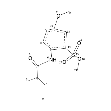 CCC(C)C(=O)Nc1ccc(OC)cc1S(=O)(=O)OC